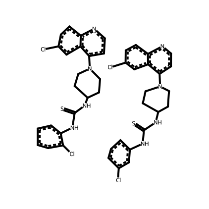 S=C(Nc1cccc(Cl)c1)NC1CCN(c2ccnc3ccc(Cl)cc23)CC1.S=C(Nc1ccccc1Cl)NC1CCN(c2ccnc3ccc(Cl)cc23)CC1